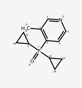 Cc1cnccc1P(=O)(C1CC1)C1CC1